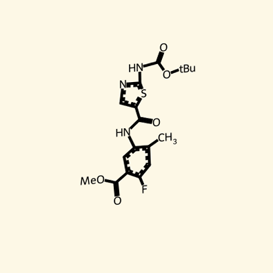 COC(=O)c1cc(NC(=O)c2cnc(NC(=O)OC(C)(C)C)s2)c(C)cc1F